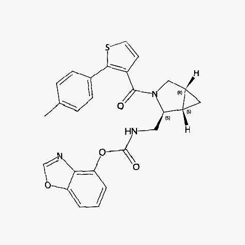 Cc1ccc(-c2sccc2C(=O)N2C[C@@H]3C[C@@H]3[C@H]2CNC(=O)Oc2cccc3ocnc23)cc1